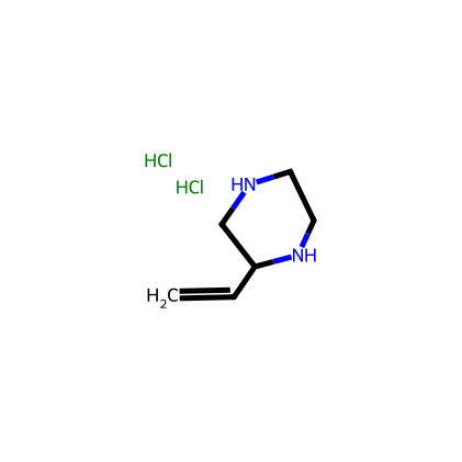 C=CC1CNCCN1.Cl.Cl